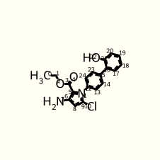 CCOC(=O)c1c(N)cc(Cl)n1-c1ccc(-c2ccccc2O)cc1